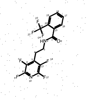 O=C(NCCc1c(F)c(F)nc(F)c1F)c1ccccc1C(F)(F)F